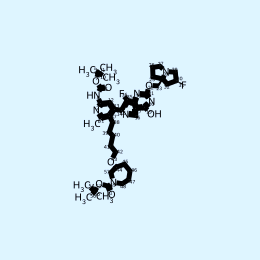 Cc1nc(NC(=O)OC(C)(C)C)cc(-c2ncc3c(O)nc(OC[C@@]45CCCN4C[C@H](F)C5)nc3c2F)c1CCCCCOC1CCCCN(C(=O)OC(C)(C)C)C1